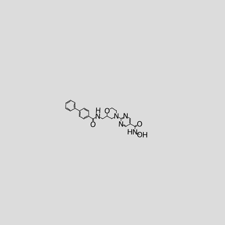 O=C(NO)c1cnc(N2CCOC(CNC(=O)c3ccc(-c4ccccc4)cc3)C2)nc1